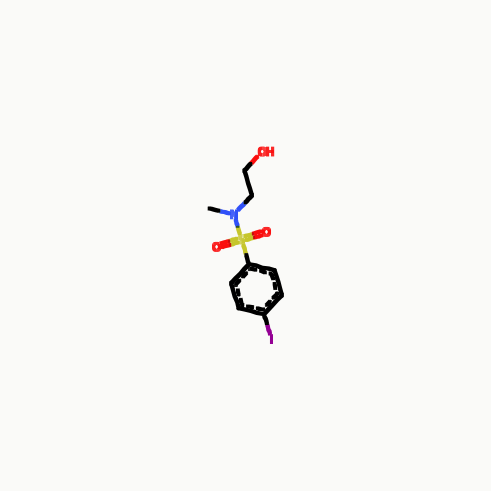 CN(CCO)S(=O)(=O)c1ccc(I)cc1